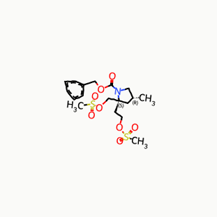 C[C@H]1CN(C(=O)OCc2ccccc2)[C@@](CCOS(C)(=O)=O)(COS(C)(=O)=O)C1